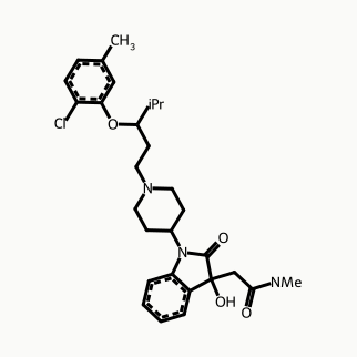 CNC(=O)CC1(O)C(=O)N(C2CCN(CCC(Oc3cc(C)ccc3Cl)C(C)C)CC2)c2ccccc21